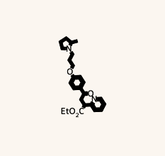 CCOC(=O)C(CC(=O)c1ccc(OCCCN2CCCC2C)cc1)c1ccccn1